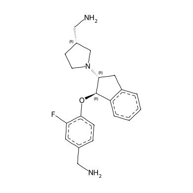 NCc1ccc(O[C@@H]2c3ccccc3C[C@H]2N2CC[C@H](CN)C2)c(F)c1